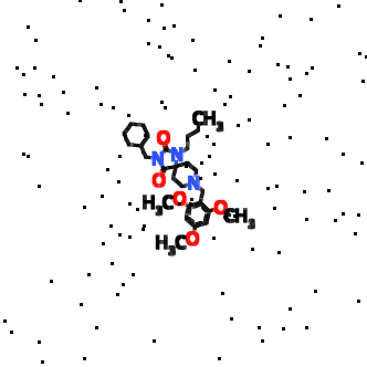 CCCCN1C(=O)N(CC2CCCCC2)C(=O)C12CCN(Cc1c(OC)cc(OC)cc1OC)CC2